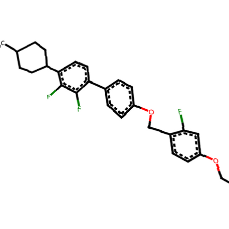 C=CCOc1ccc(COc2ccc(-c3ccc(C4CCC(C)CC4)c(F)c3F)cc2)c(F)c1